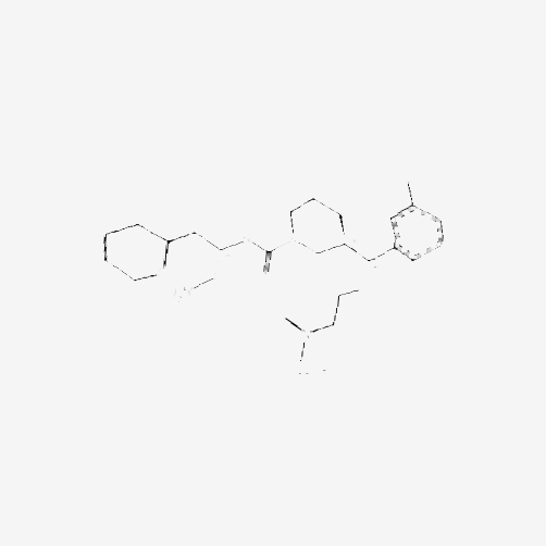 CN(CCO[C@@H](c1cccc(Cl)c1)[C@@H]1CCCN(C(=O)N[C@H](CN)CC2CCCCO2)C1)C(=O)O